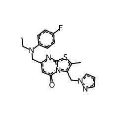 CCN(Cc1cc(=O)n2c(Cn3cccn3)c(C)sc2n1)c1ccc(F)cc1